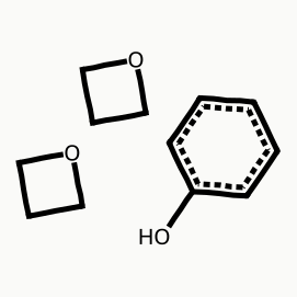 C1COC1.C1COC1.Oc1ccccc1